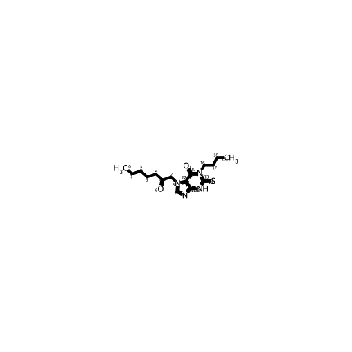 CCCCCC(=O)Cn1cnc2[nH]c(=S)n(CCCC)c(=O)c21